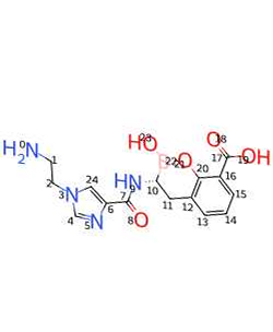 NCCn1cnc(C(=O)N[C@H]2Cc3cccc(C(=O)O)c3OB2O)c1